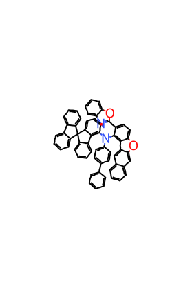 c1ccc(-c2ccc(N(c3cccc4c3-c3ccccc3C43c4ccccc4-c4ccccc43)c3c(-c4nc5ccccc5o4)ccc4oc5cc6ccccc6cc5c34)cc2)cc1